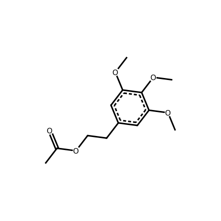 COc1cc(CCOC(C)=O)cc(OC)c1OC